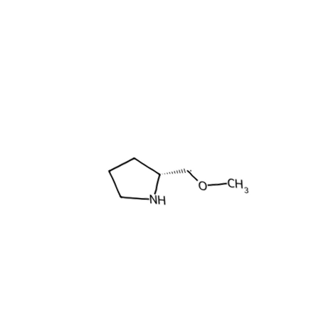 CO[CH][C@H]1CCCN1